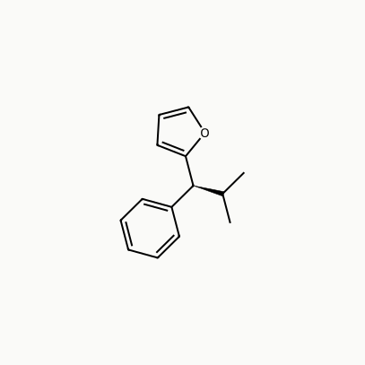 CC(C)[C@@H](c1ccccc1)c1ccco1